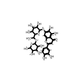 CC(OC1OC(O)C(O)C(O)C1O)C1OC(Oc2cc3oc(-c4ccc(O)c(O)c4)cc(=O)c3c(O)c2O)C(O)C(O)C1O